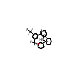 CC(C(=O)N[C@]1(c2ccccc2)CCCC[C@@H]1c1ccncc1)c1cc(C(F)(F)F)cc(C(F)(F)F)c1